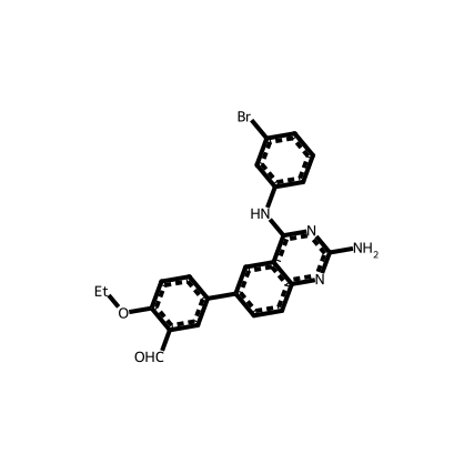 CCOc1ccc(-c2ccc3nc(N)nc(Nc4cccc(Br)c4)c3c2)cc1C=O